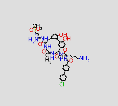 C[C@@H]1NC(=O)[C@@H](N(C)C(=O)[C@H](CCCCN)NC(=O)c2ccc(-c3ccc(Cl)cc3)cc2)c2ccc(O)c(c2)-c2cc(ccc2O)C[C@@H](C(=O)N[C@@H](N)/C=C/S(C)(=O)=O)NC1=O